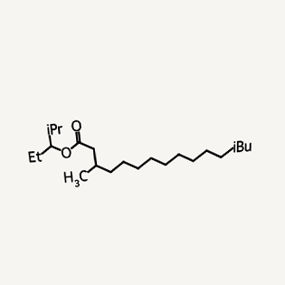 CCC(C)CCCCCCCCCC(C)CC(=O)OC(CC)C(C)C